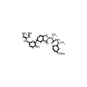 COc1cccc([C@@H](C)NC(=O)[C@@H](C)N2Cc3ccc(-c4nc(N/C(C=N)=C/N)ncc4Cl)cc3C2=O)c1